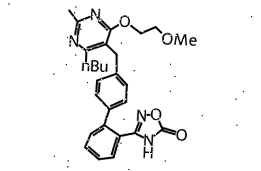 CCCCc1nc(C)nc(OCCOC)c1Cc1ccc(-c2ccccc2-c2noc(=O)[nH]2)cc1